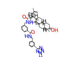 C=C(C)[C@@H]1CC[C@]2(C(=O)NCc3cccc(C(=O)NCc4cccc(-c5nn[nH]n5)c4)c3)CC[C@]3(C)[C@H](CC[C@@H]4[C@@]5(C)CC[C@H](O)C(C)(C)[C@@H]5CC[C@]43C)[C@@H]12